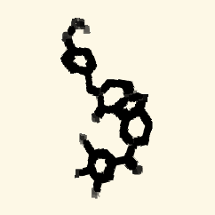 COc1ccc(CN2CCn3nc4c(c3C2=O)CN(C(=O)c2cc(F)c(F)c(F)c2)CC4)cc1